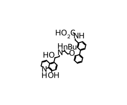 CCCCC(COc1ccccc1-c1cccc(CNC(=O)O)c1)NC[C@H](O)c1ccc(O)c2c1C=CCN2